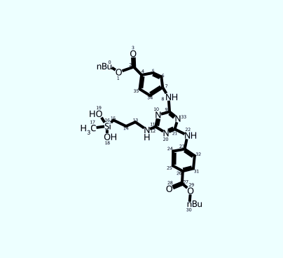 CCCCOC(=O)c1ccc(Nc2nc(NCCC[Si](C)(O)O)nc(Nc3ccc(C(=O)OCCCC)cc3)n2)cc1